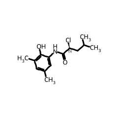 Cc1cc(C)c(O)c(NC(=O)[C@@H](Cl)CC(C)C)c1